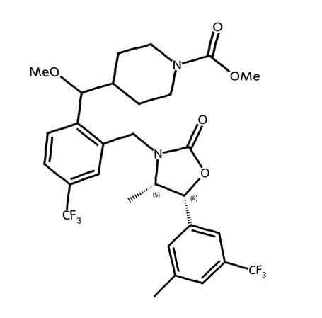 COC(=O)N1CCC(C(OC)c2ccc(C(F)(F)F)cc2CN2C(=O)O[C@H](c3cc(C)cc(C(F)(F)F)c3)[C@@H]2C)CC1